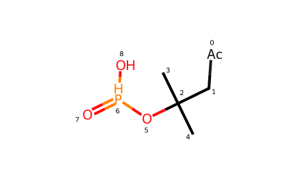 CC(=O)CC(C)(C)O[PH](=O)O